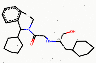 O=C(CN[C@H](CO)CC1CCCCC1)N1CCc2ccccc2C1C1CCCCC1